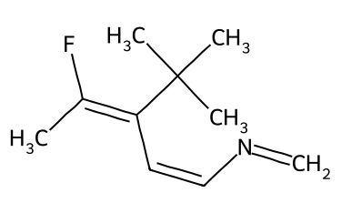 C=N/C=C\C(=C(/C)F)C(C)(C)C